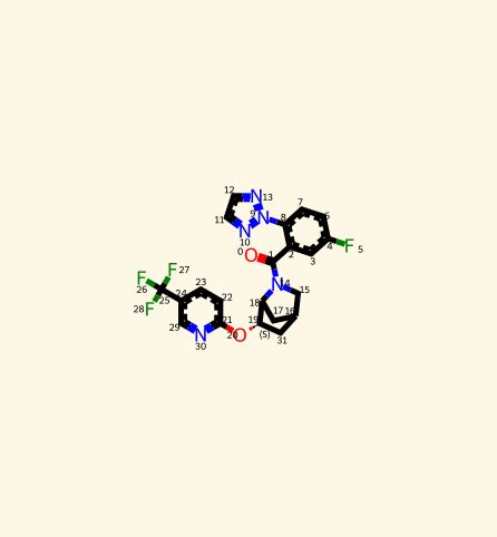 O=C(c1cc(F)ccc1-n1nccn1)N1CC2CC1[C@@H](Oc1ccc(C(F)(F)F)cn1)C2